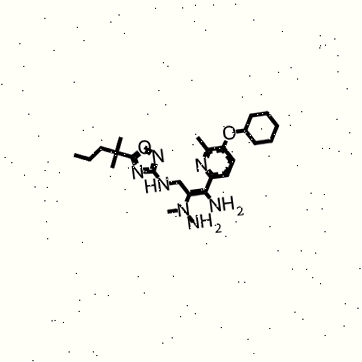 CCCC(C)(C)c1nc(NC/C(=C(/N)c2ccc(OC3CCCCC3)c(C)n2)N(C)N)no1